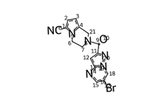 N#Cc1ccc2n1CCN(C(=O)c1cc3ncc(Br)cn3n1)C2